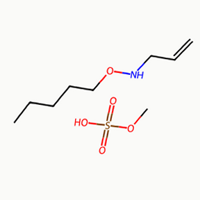 C=CCNOCCCCC.COS(=O)(=O)O